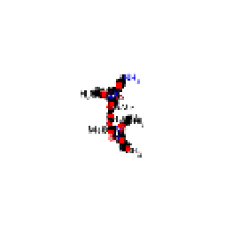 COc1cc2c(cc1OCCCCCOc1cc3c(cc1OC)C(=O)N1C=C(c4ccc(CN)cc4)C[C@H]1C(=O)N3COCC[Si](C)(C)C)N(COCC[Si](C)(C)C)C(=O)[C@@H]1CC(c3ccc(C)cc3)=CN1C2=O